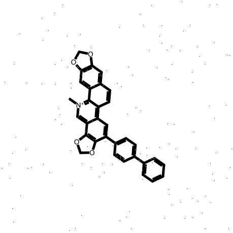 C[n+]1cc2c3c(c(-c4ccc(-c5ccccc5)cc4)cc2c2ccc4cc5c(cc4c21)OCO5)OCO3